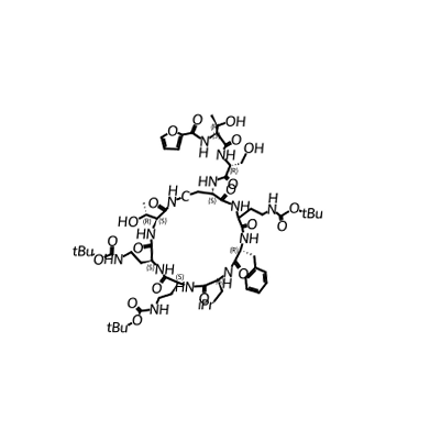 CC(C)C[C@@H]1NC(=O)[C@@H](Cc2ccccc2)NC(=O)C(CCNC(=O)OC(C)(C)C)NC(=O)[C@@H](NC(=O)[C@@H](CO)NC(=O)[C@@H](NC(=O)c2ccco2)[C@@H](C)O)CCNC(=O)[C@H]([C@@H](C)O)NC(=O)[C@H](CCNC(=O)OC(C)(C)C)NC(=O)[C@H](CCNC(=O)OC(C)(C)C)NC1=O